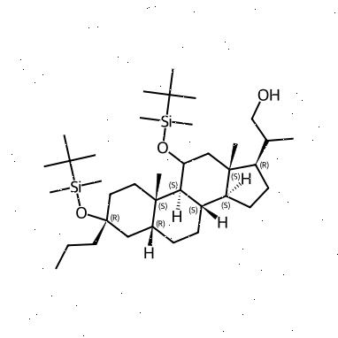 CCC[C@@]1(O[Si](C)(C)C(C)(C)C)CC[C@@]2(C)[C@H](CC[C@H]3[C@@H]4CC[C@H](C(C)CO)[C@@]4(C)CC(O[Si](C)(C)C(C)(C)C)[C@@H]32)C1